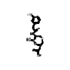 O=C(O)C[C@H]1COC[C@H](NC(=O)Cc2cccc(O)c2)B(O)O1